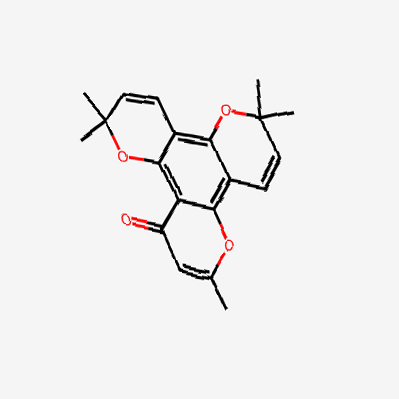 Cc1cc(=O)c2c3c(c4c(c2o1)C=CC(C)(C)O4)C=CC(C)(C)O3